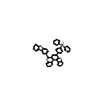 O=P(c1ccccc1)(c1ccccc1)c1ccc(-c2cc3c(-c4ccc5sc6ccccc6c5c4)nc4ccccc4c3c3c2oc2ccccc23)cc1